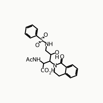 CC(=O)NC(C(=O)O)C(C(O)CNS(=O)(=O)c1ccccc1)N1CCc2ccccc2C1=O